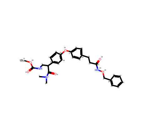 CN(C)C(=O)C(CNC(=O)OC(C)(C)C)c1ccc(Oc2ccc(CCC(=O)NOCc3ccccc3)cc2)cc1